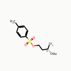 CO[C@H](CCOS(=O)(=O)c1ccc(C)cc1)C(F)(F)F